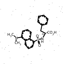 CN(C)c1cccc2c(S(=O)(=O)N[C@H](Cc3ccccc3)C(=O)O)cccc12